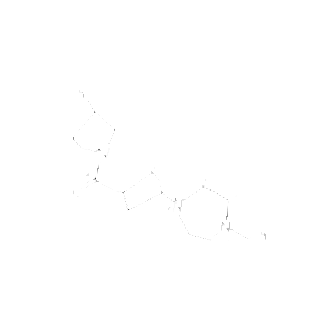 CC(C)C1CN(C(=O)C2CC(N3CCN(C(C)C)CC3)C2)C1